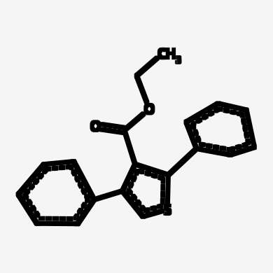 CCOC(=O)c1c(-c2ccccc2)csc1-c1ccccc1